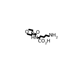 NCCCC[C@H](NC(=O)N1CCOCC1)C(=O)O